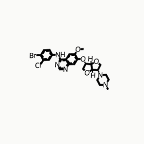 COc1cc2c(Nc3ccc(Br)c(Cl)c3)ncnc2cc1O[C@@H]1CO[C@@H]2[C@H]1OC[C@H]2N1CCN(C)CC1